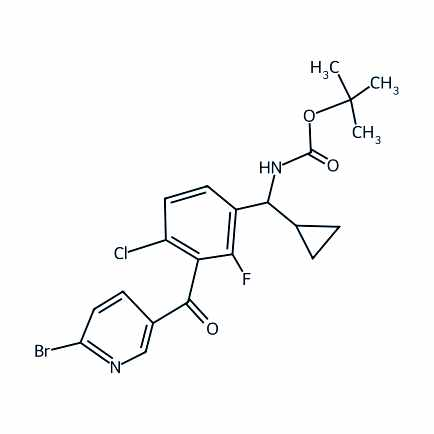 CC(C)(C)OC(=O)NC(c1ccc(Cl)c(C(=O)c2ccc(Br)nc2)c1F)C1CC1